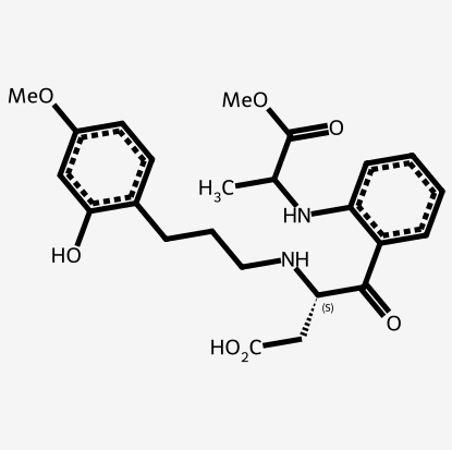 COC(=O)C(C)Nc1ccccc1C(=O)[C@H](CC(=O)O)NCCCc1ccc(OC)cc1O